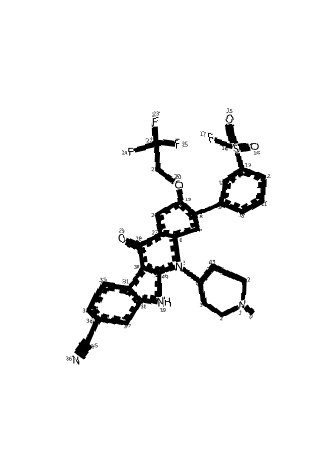 CN1CCC(n2c3cc(-c4cccc(S(=O)(=O)F)c4)c(OCC(F)(F)F)cc3c(=O)c3c4ccc(C#N)cc4[nH]c32)CC1